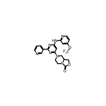 O=C1OCC2CN(c3cc(Nc4cc(OC(F)(F)F)ccn4)nc(-c4cccnc4)n3)CCN12